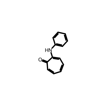 O=c1cccccc1Nc1ccccc1